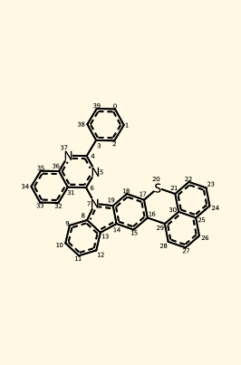 c1ccc(-c2nc(-n3c4ccccc4c4cc5c(cc43)Sc3cccc4cccc-5c34)c3ccccc3n2)cc1